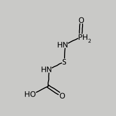 O=[PH2]NSNC(=O)O